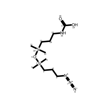 C[Si](C)(CCCN=[N+]=[N-])O[Si](C)(C)CCCNC(=O)O